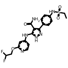 CCS(=O)(=O)Nc1ccc(-c2n[nH]c(Nc3ccnc(OCC(F)F)c3)c2C(N)=O)cc1